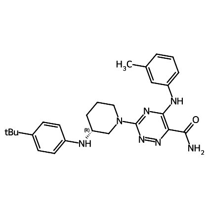 Cc1cccc(Nc2nc(N3CCC[C@@H](Nc4ccc(C(C)(C)C)cc4)C3)nnc2C(N)=O)c1